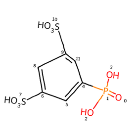 O=P(O)(O)c1cc(S(=O)(=O)O)cc(S(=O)(=O)O)c1